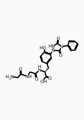 NCC(=O)NCC(=O)N[C@@H](Cc1ccc(O)c(-n2[nH]c(=O)n(-c3ccccc3)c2=O)c1)C(=O)O